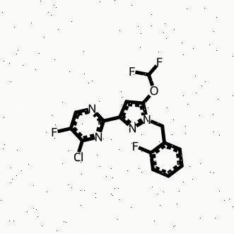 Fc1ccccc1Cn1nc(-c2ncc(F)c(Cl)n2)cc1OC(F)F